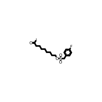 O=C(I)CCCCCCCCOS(=O)(=O)Cc1ccc(F)cc1